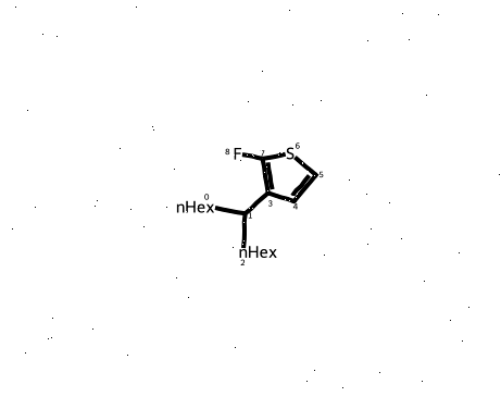 CCCCCCC(CCCCCC)c1ccsc1F